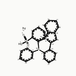 O=S(=O)(O)c1ccccc1P(c1ccccc1)c1ccccc1-c1cc2ccccc2o1.[Pd]